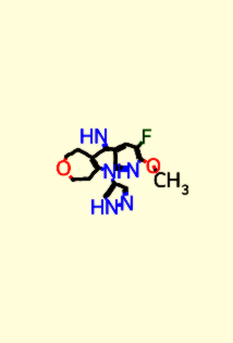 COc1ncc(C(=N)C2=C(Nc3cn[nH]c3)CCOCC2)cc1F